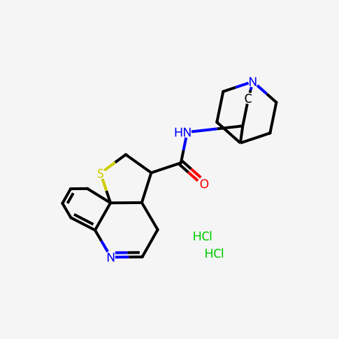 Cl.Cl.O=C(NC1CN2CCC1CC2)C1CSC23CC=CC=C2N=CCC13